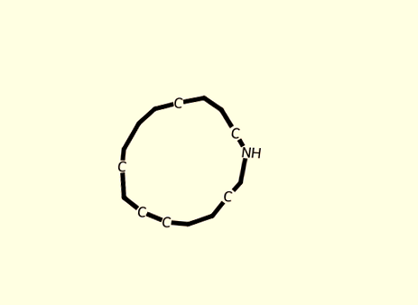 C1CCCCCCCNCCCCCCC1